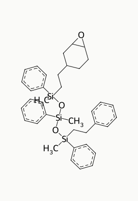 C[Si](CCc1ccccc1)(O[Si](C)(O[Si](C)(CCC1CCC2OC2C1)c1ccccc1)c1ccccc1)c1ccccc1